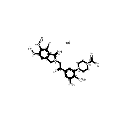 Br.CCCCc1cc(C(=O)CN2Cc3cc(OCC)c(OCC)c(F)c3C2=N)cc(N2CCN(C(=O)CC)CC2)c1OC